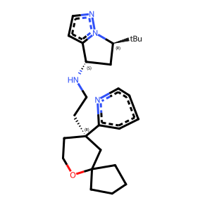 CC(C)(C)[C@H]1C[C@H](NCC[C@@]2(c3ccccn3)CCOC3(CCCC3)C2)c2ccnn21